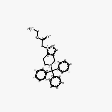 CCOC(=O)Cn1ncc2c1CCN(C(c1ccccc1)(c1ccccc1)c1ccccc1)C2